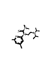 Cc1cc(C)nc(N(CCN(C(C)C)C(C)C)C(=S)N(C)C)c1